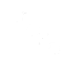 O=C(O)C1C=CC(C(F)(F)C2=CCCC=C2)CC1